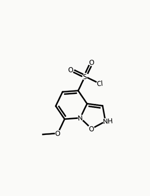 COC1=CC=C(S(=O)(=O)Cl)C2=CNON12